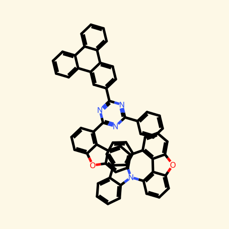 c1ccc(-c2nc(-c3ccc4c5ccccc5c5ccccc5c4c3)nc(-c3cccc4oc5ccc(-c6cccc7oc8cccc(-n9c%10ccccc%10c%10ccccc%109)c8c67)cc5c34)n2)cc1